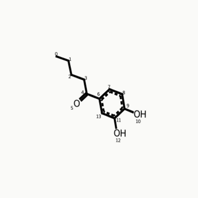 CCCCC(=O)c1ccc(O)c(O)c1